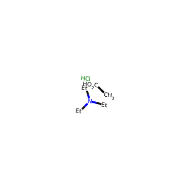 CC(=O)O.CCN(CC)CC.Cl